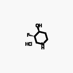 Cl.O[C@H]1CCNC[C@@H]1F